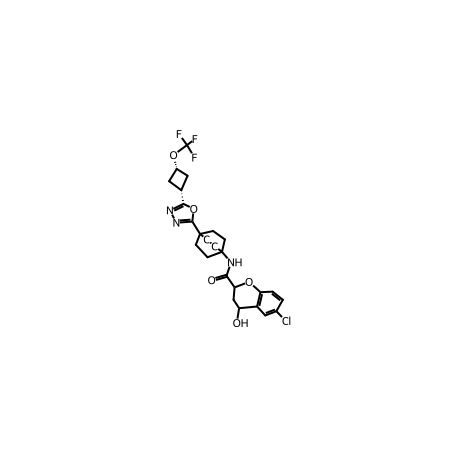 O=C(NC12CCC(c3nnc([C@H]4C[C@@H](OC(F)(F)F)C4)o3)(CC1)CC2)C1CC(O)c2cc(Cl)ccc2O1